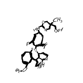 CC(C)Oc1cccc(F)c1-c1c[nH]c2nccc(Oc3c(F)cc(NC4=NCC(C)(CO)CO4)cc3F)c12